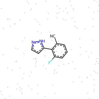 N#Cc1cccc(F)c1-c1ccn[nH]1